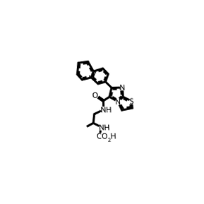 CC(CNC(=O)c1c(-c2ccc3ccccc3c2)nc2sccn12)NC(=O)O